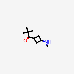 CNC1CC(C(=O)C(C)(C)C)C1